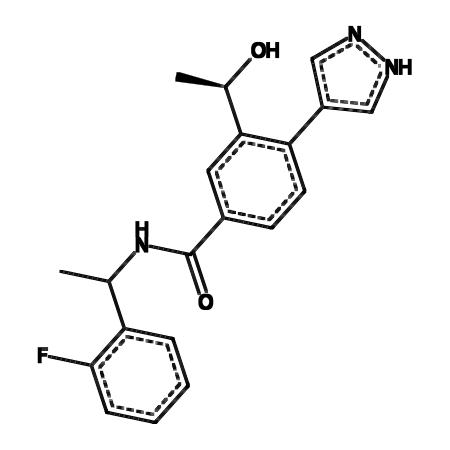 CC(NC(=O)c1ccc(-c2cn[nH]c2)c([C@@H](C)O)c1)c1ccccc1F